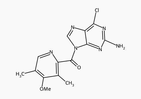 COc1c(C)cnc(C(=O)n2cnc3c(Cl)nc(N)nc32)c1C